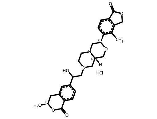 Cc1c([C@@H]2CN3CCN(CC(O)c4ccc5c(c4)C[C@H](C)OC5=O)C[C@H]3CO2)ccc2c1COC2=O.Cl